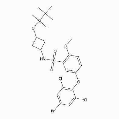 COc1ccc(Oc2c(Cl)cc(Br)cc2Cl)cc1S(=O)(=O)NC1CC(O[Si](C)(C)C(C)(C)C)C1